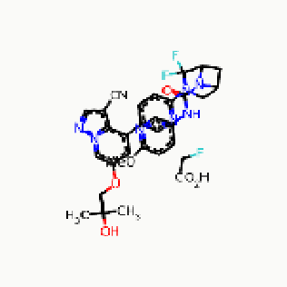 COc1ccc(NC(=O)N2C3CC2C(F)(F)N(c2ccc(-c4cc(OCC(C)(C)O)cn5ncc(C#N)c45)cn2)C3)cn1.O=C(O)CF